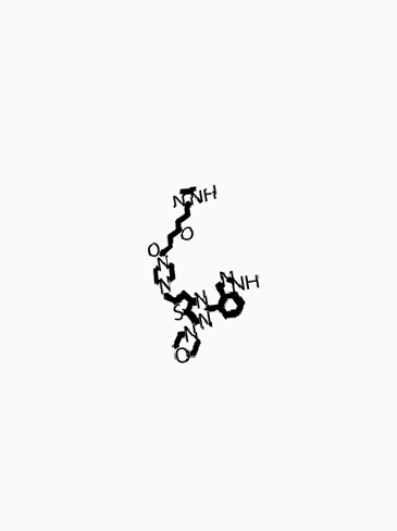 O=C(C=Cc1ncc[nH]1)CCC(=O)N1CCN(Cc2cc3nc(-c4cccc5[nH]ncc45)nc(N4CCOCC4)c3s2)CC1